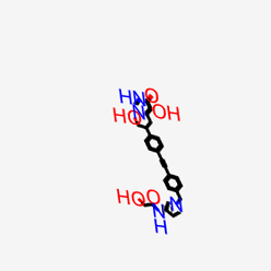 O=C(CO)N[C@@H]1CCN(Cc2ccc(C#Cc3ccc(C(CO)Cc4nc[nH]c(=O)c4O)cc3)cc2)C1